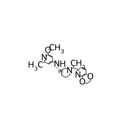 COc1cc(NC[C@H]2CCCN(C(C)c3ccc4c(n3)OCCO4)C2)cc(C)n1